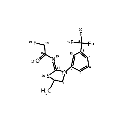 CC1CN(c2cccc(C(F)(F)F)c2)C(=NC(=O)CF)S1